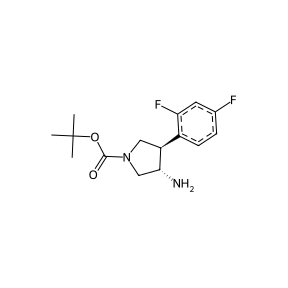 CC(C)(C)OC(=O)N1C[C@@H](N)[C@H](c2ccc(F)cc2F)C1